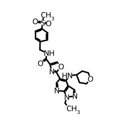 CCn1ncc2c(NC3CCOCC3)c(-c3nc(C(=O)NCc4ccc(S(C)(=O)=O)cc4)co3)cnc21